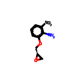 Nc1c(OC[C@@H]2CO2)cccc1[N+](=O)[O-]